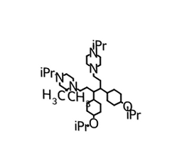 CC(C)OC1CCC(C(CCN2CCN(C(C)C)CC2)C(CCN2CCN(C(C)C)CC2(C)C)C2CCC(OC(C)C)CC2)CC1